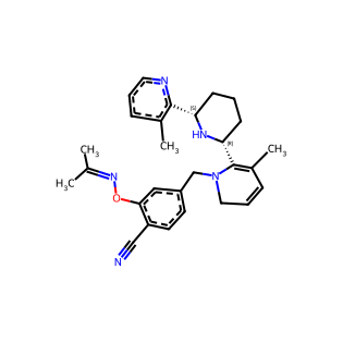 CC(C)=NOc1cc(CN2CC=CC(C)=C2[C@H]2CCC[C@@H](c3ncccc3C)N2)ccc1C#N